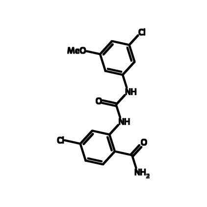 COc1cc(Cl)cc(NC(=O)Nc2cc(Cl)ccc2C(N)=O)c1